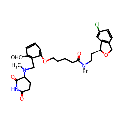 CCN(CC[C@@H]1OCc2ccc(Cl)cc21)C(=O)CCCCOc1cccc(C=O)c1CN(C)C1CCC(=O)NC1=O